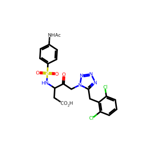 CC(=O)Nc1ccc(S(=O)(=O)NC(CC(=O)O)C(=O)Cn2nnnc2Cc2c(Cl)cccc2Cl)cc1